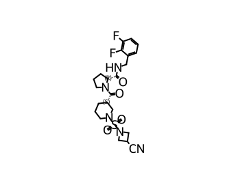 N#CC1CN(S(=O)(=O)N2CCC[C@H](C(=O)N3CCC[C@@H]3C(=O)NCc3cccc(F)c3F)C2)C1